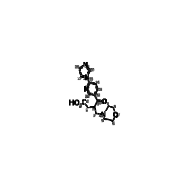 O=C(O)CC(CN1CCOCC1)C(=O)c1ccc(-n2ccnc2)nc1